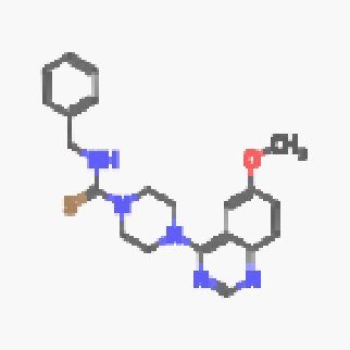 COc1ccc2ncnc(N3CCN(C(=S)NCc4ccccc4)CC3)c2c1